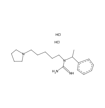 CC(c1ccccc1)N(CCCCCN1CCCC1)C(=N)N.Cl.Cl